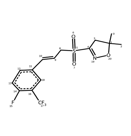 CC1(C)CC(S(=O)(=O)CC=Cc2ccc(F)c(C(F)(F)F)c2)=NO1